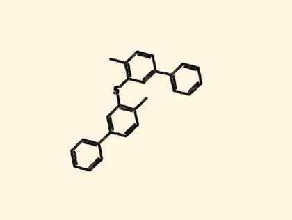 Cc1ccc(-c2ccccc2)cc1Sc1cc(-c2ccccc2)ccc1C